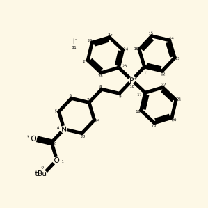 CC(C)(C)OC(=O)N1CCC(CC[P+](c2ccccc2)(c2ccccc2)c2ccccc2)CC1.[I-]